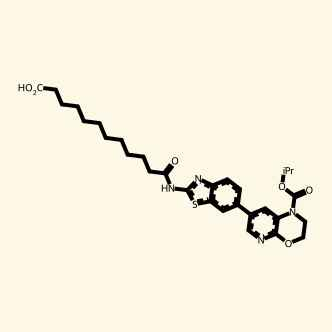 CC(C)OC(=O)N1CCOc2ncc(-c3ccc4nc(NC(=O)CCCCCCCCCCC(=O)O)sc4c3)cc21